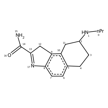 CCCNC1CCc2ccc3c(c2C1)CC(C(N)=O)=N3